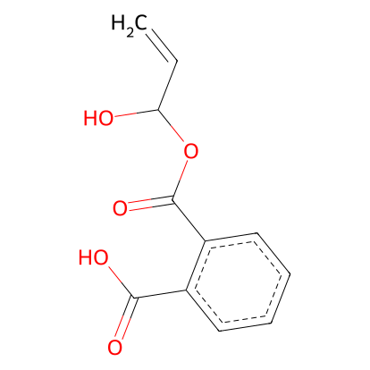 C=CC(O)OC(=O)c1ccccc1C(=O)O